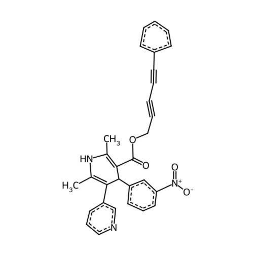 CC1=C(C(=O)OCC#CC#Cc2ccccc2)C(c2cccc([N+](=O)[O-])c2)C(c2cccnc2)=C(C)N1